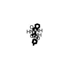 Cc1ccc(S(=O)(=O)Nc2c(=O)[nH]n3c(=O)c4c([nH]c23)CCCC4)cc1